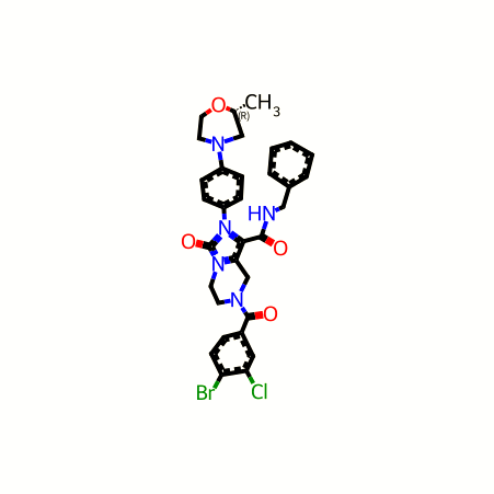 C[C@@H]1CN(c2ccc(-n3c(C(=O)NCc4ccccc4)c4n(c3=O)CCN(C(=O)c3ccc(Br)c(Cl)c3)C4)cc2)CCO1